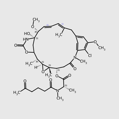 COc1cc2cc(c1Cl)N(C)C(=O)C[C@H](OC(=O)[C@H](C)N(C)C(=O)CCCC(C)=O)[C@]1(C)O[C@H]1[C@H](C)C1C[C@@](O)(NC(=O)O1)[C@H](OC)/C=C/C=C(\C)C2